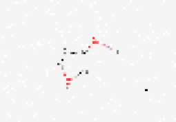 IOC1CCOC1